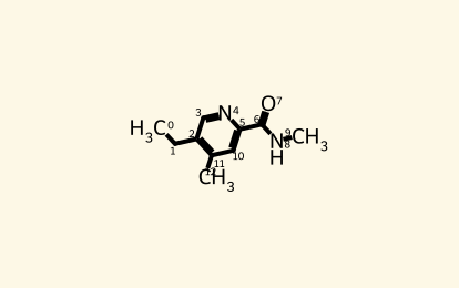 CCc1cnc(C(=O)NC)cc1C